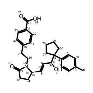 Cc1ccc(C2([C@@H](O)/C=C/[C@H]3CCC(=O)N3CCc3ccc(C(=O)O)cc3)CCCC2)cc1